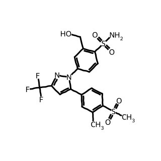 Cc1cc(-c2cc(C(F)(F)F)nn2-c2ccc(S(N)(=O)=O)c(CO)c2)ccc1S(C)(=O)=O